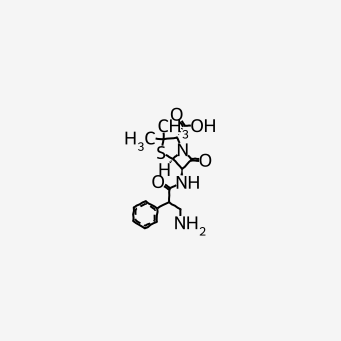 CC1(C)S[C@@H]2[C@H](NC(=O)C(CN)c3ccccc3)C(=O)N2[C@H]1C(=O)O